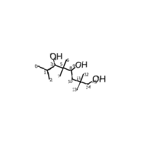 CC(C)C(O)C(C)(C)C(O)CC(C)(C)CO